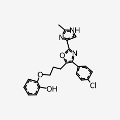 Cc1nc(-c2nc(-c3ccc(Cl)cc3)c(CCCOc3ccccc3O)o2)c[nH]1